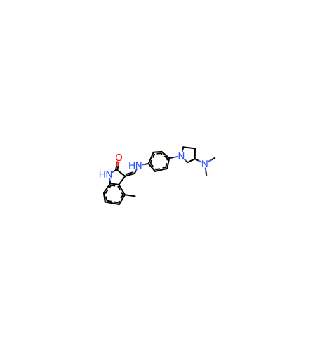 Cc1cccc2c1C(=CNc1ccc(N3CCC(N(C)C)C3)cc1)C(=O)N2